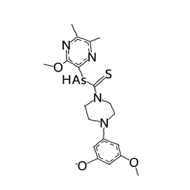 COc1cc(OC)cc(N2CCN(C(=S)[AsH]c3nc(C)c(C)nc3OC)CC2)c1